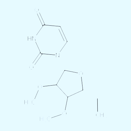 CC[C@H]1O[C@@H](n2ccc(=O)[nH]c2=O)C(OC)C1OC